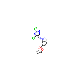 Cc1ccc(C(=O)OC(C)(C)C)cc1NCc1cnc(Cl)nc1Cl